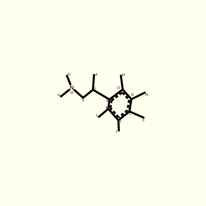 Cc1c(C)c(C)c(C(C)CN(C)C)c(C)c1C